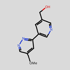 COc1cnnc(-c2cncc(CO)c2)c1